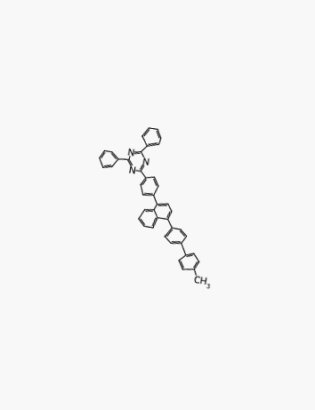 Cc1ccc(-c2ccc(-c3ccc(-c4ccc(-c5nc(-c6ccccc6)nc(-c6ccccc6)n5)cc4)c4ccccc34)cc2)cc1